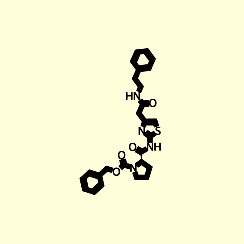 O=C(Cc1csc(NC(=O)[C@@H]2CCCN2C(=O)OCc2ccccc2)n1)NCCc1ccccc1